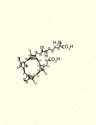 C=CC1=C(C)c2cc3[nH]c(cc4nc(cc5[nH]c(cc1n2)c(C)c5CCC(=O)NCCCC[C@H](N)C(=O)O)C(CCC(=O)O)C4C)c(C)c3C=C